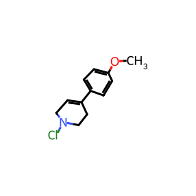 COc1ccc(C2=CCN(Cl)CC2)cc1